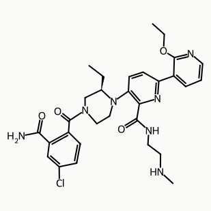 CCOc1ncccc1-c1ccc(N2CCN(C(=O)c3ccc(Cl)cc3C(N)=O)C[C@H]2CC)c(C(=O)NCCNC)n1